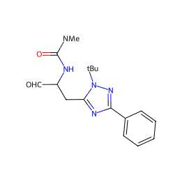 CNC(=O)NC(C=O)Cc1nc(-c2ccccc2)nn1C(C)(C)C